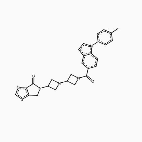 Cc1ccc(-n2ccc3cc(C(=O)N4CC(N5CC(N6Cc7scnc7C6=O)C5)C4)ccc32)cc1